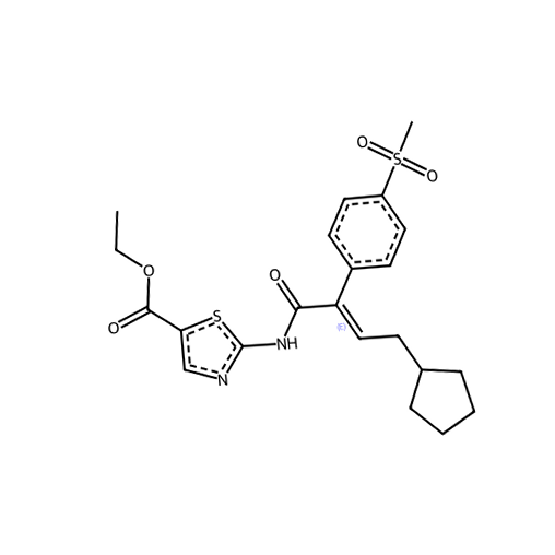 CCOC(=O)c1cnc(NC(=O)/C(=C/CC2CCCC2)c2ccc(S(C)(=O)=O)cc2)s1